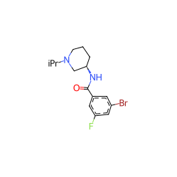 CC(C)N1CCC[C@@H](NC(=O)c2cc(F)cc(Br)c2)C1